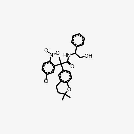 CC1(C)CCc2cc(C(C)(C(=O)NC(CO)c3ccccc3)c3cc(Cl)ccc3[N+](=O)[O-])ccc2O1